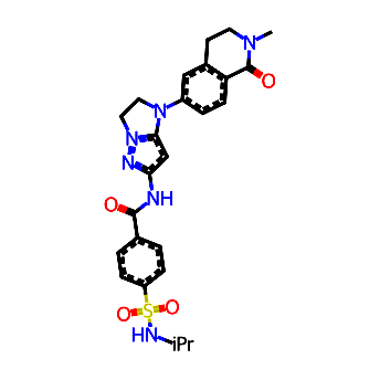 CC(C)NS(=O)(=O)c1ccc(C(=O)Nc2cc3n(n2)CCN3c2ccc3c(c2)CCN(C)C3=O)cc1